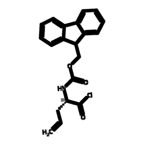 C=CC[C@H](NC(=O)OCC1c2ccccc2-c2ccccc21)C(=O)Cl